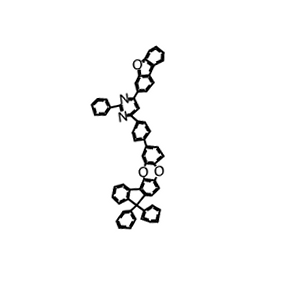 c1ccc(-c2nc(-c3ccc(-c4ccc5c(c4)Oc4c(ccc6c4-c4ccccc4C6(c4ccccc4)c4ccccc4)O5)cc3)cc(-c3ccc4c(c3)oc3ccccc34)n2)cc1